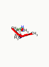 CCCCCCCCCCCCCCCC[N+](CC)(CC)CCCCCCCCCCCCCCCC.CNC.Cl.[Cl-]